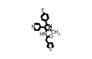 Cn1nc(-c2ccc(F)cc2)c(-c2ccncc2)c1NC(=O)Cc1ccsc1